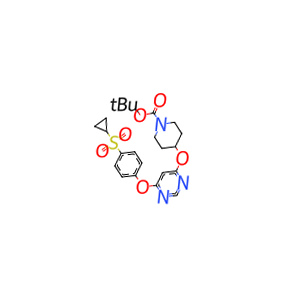 CC(C)(C)OC(=O)N1CCC(Oc2cc(Oc3ccc(S(=O)(=O)C4CC4)cc3)ncn2)CC1